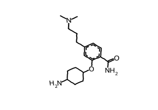 CN(C)CCCc1ccc(C(N)=O)c(OC2CCC(N)CC2)c1